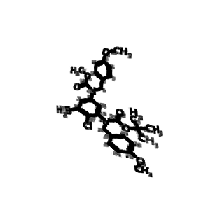 Bc1cc(N(Cc2ccc(OC)cc2)C(=O)OC)cc(N(Cc2ccc(OC)cc2)C(=O)OC(C)(C)C)c1Cl